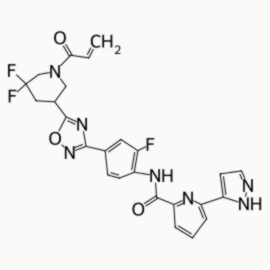 C=CC(=O)N1CC(c2nc(-c3ccc(NC(=O)c4cccc(-c5ccn[nH]5)n4)c(F)c3)no2)CC(F)(F)C1